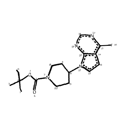 CC(C)(C)OC(=O)N1CCC(n2ccc3c(I)ncnc32)CC1